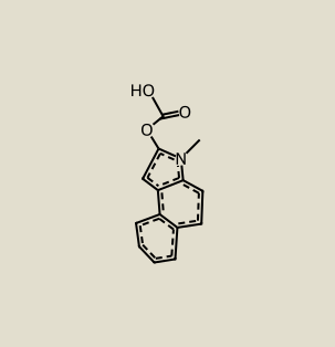 Cn1c(OC(=O)O)cc2c3ccccc3ccc21